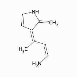 C=c1[nH]cc/c1=C(C)/C=C\N